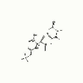 CC(=O)C(C)N(C)C(=O)CN(C)C(=O)[C@@H](NC(=O)OC(C)(C)C)[C@@H](C)O